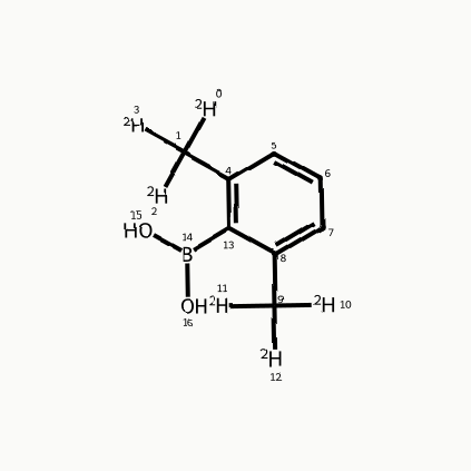 [2H]C([2H])([2H])c1cccc(C([2H])([2H])[2H])c1B(O)O